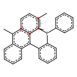 C/C=C(\C)c1cc(C)c2ccccc2c1-c1ccccc1P(c1ccccc1)c1ccccc1